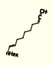 [CH]=C=CCCCCCC=CCCCCCC